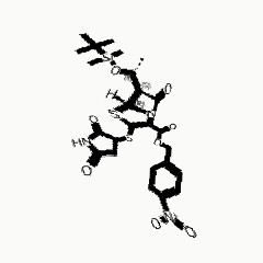 C[C@@H](O[Si](C)(C)C(C)(C)C)[C@H]1C(=O)N2C(C(=O)OCc3ccc([N+](=O)[O-])cc3)=C(SC3CC(=O)NC3=O)S[C@H]12